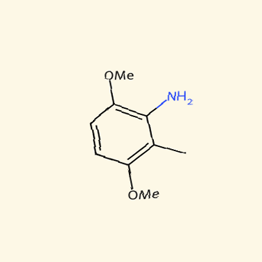 COc1ccc(OC)c(N)c1C